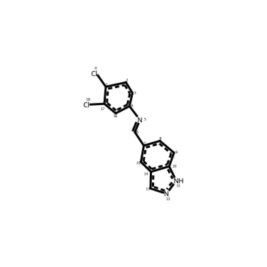 Clc1ccc(N=Cc2ccc3[nH]ncc3c2)cc1Cl